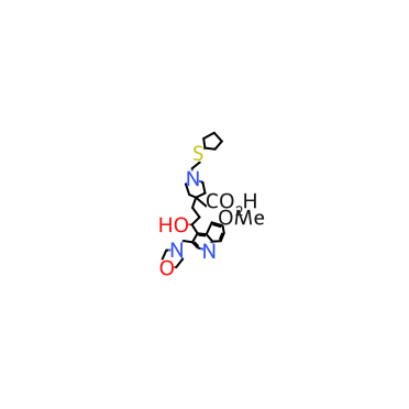 COc1ccc2ncc(CN3CCOCC3)c([C@@H](O)CCC3(CC(=O)O)CCN(CCSC4CCCC4)CC3)c2c1